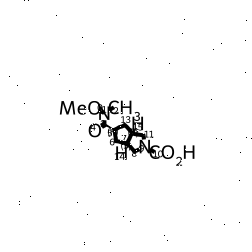 CON(C)C(=O)[C@@H]1C[C@@H]2CN(C(=O)O)C[C@@H]2C1